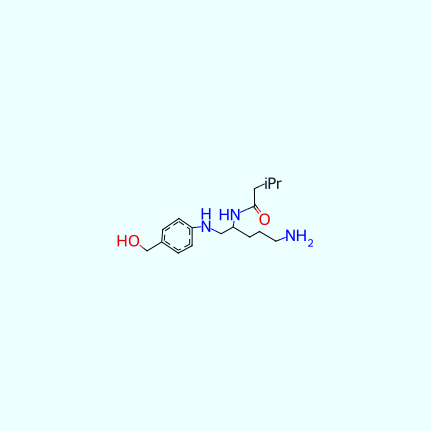 CC(C)CC(=O)NC(CCCN)CNc1ccc(CO)cc1